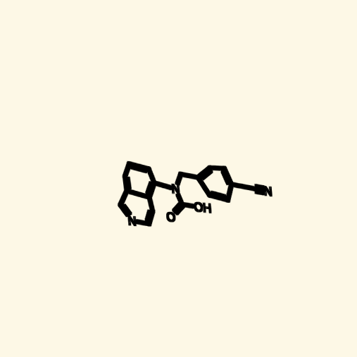 N#Cc1ccc(CN(C(=O)O)c2cccc3cnccc23)cc1